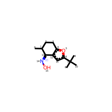 CC1CCc2oc(C(C)(C)C)cc2/C1=N\O